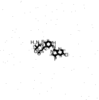 CC1(C)C(N)=N[C@](C)(c2cc(Nc3ncc(F)c4cc(Cl)cnc34)ccc2F)CS1(=O)=O